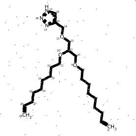 C=CCCCCCCCOCC(COCc1c[nH]nn1)OCCCCCCCC=C